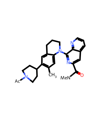 CNC(=O)c1cc2cccnc2c(N2CCCc3cc(C4CCN(C(C)=O)CC4)c(C)cc32)n1